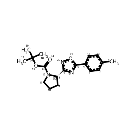 Cc1ccc(-c2nc([C@@H]3CCCN3C(=O)OC(C)(C)C)no2)cc1